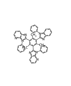 Cc1c(-c2nc3ccccc3n2-c2ccccc2)c(C)c(-c2nc3cccnc3n2-c2ccccc2)c(C)c1-c1nc2cccnc2n1-c1ccccc1